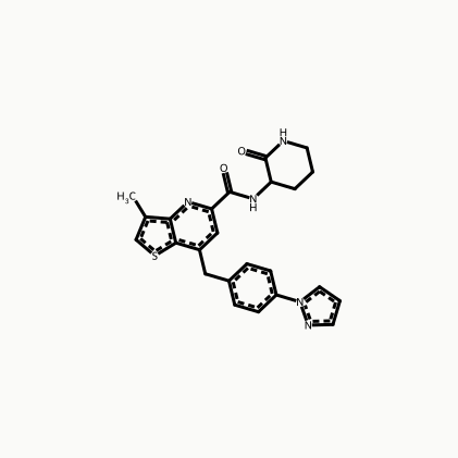 Cc1csc2c(Cc3ccc(-n4cccn4)cc3)cc(C(=O)NC3CCCNC3=O)nc12